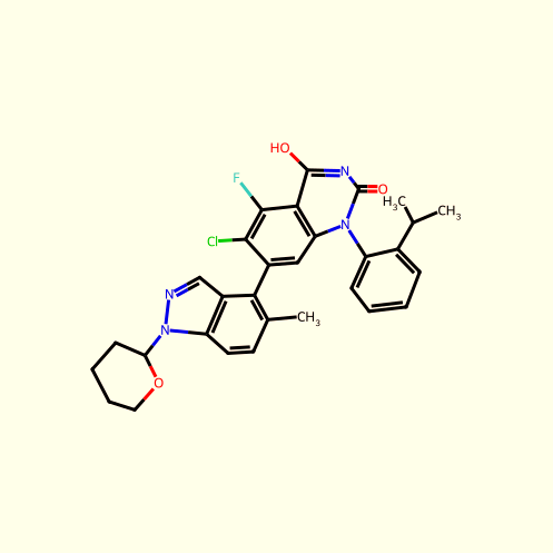 Cc1ccc2c(cnn2C2CCCCO2)c1-c1cc2c(c(O)nc(=O)n2-c2ccccc2C(C)C)c(F)c1Cl